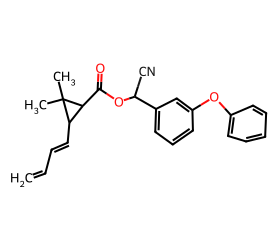 C=CC=CC1C(C(=O)OC(C#N)c2cccc(Oc3ccccc3)c2)C1(C)C